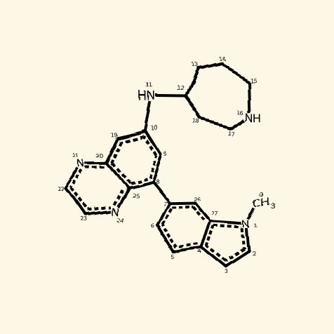 Cn1ccc2ccc(-c3cc(NC4CCCNCC4)cc4nccnc34)cc21